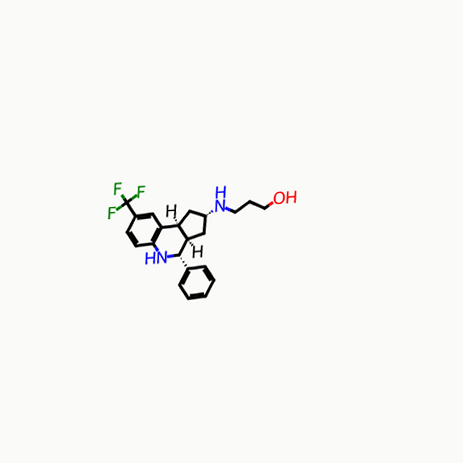 OCCCN[C@@H]1C[C@@H]2[C@H](C1)c1cc(C(F)(F)F)ccc1N[C@H]2c1ccccc1